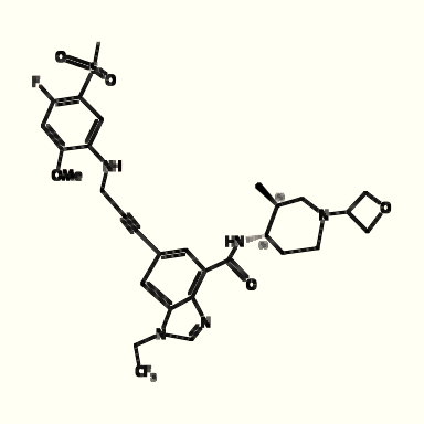 COc1cc(F)c(S(C)(=O)=O)cc1NCC#Cc1cc(C(=O)N[C@H]2CCN(C3COC3)C[C@@H]2C)c2ncn(CC(F)(F)F)c2c1